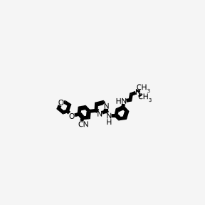 CN(C)CCNc1cccc(Nc2nccc(-c3ccc(OC4CCOCC4)c(C#N)c3)n2)c1